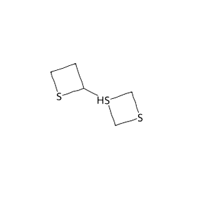 C1CC([SH]2CSC2)S1